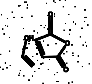 C=CO.O=C1C=CC(=O)O1